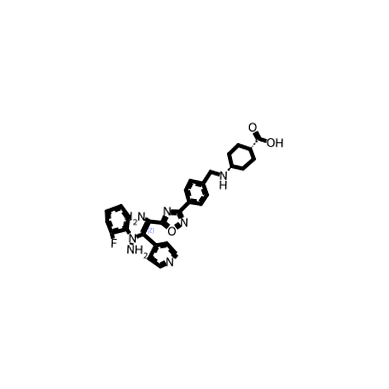 N/C(=C(/c1ccncc1)N(N)c1ccccc1F)c1nc(-c2ccc(CN[C@H]3CC[C@@H](C(=O)O)CC3)cc2)no1